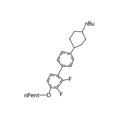 CCCCCOc1ccc(-c2ccc(C3CCC(CCCC)CC3)cc2)c(F)c1F